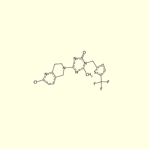 Cc1nc(N2CCc3nc(Cl)ccc3C2)nc(=O)n1Cc1ccc(C(F)(F)F)s1